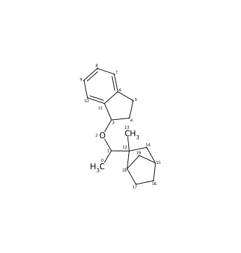 CC(OC1CCc2ccccc21)C1(C)CC2CCC1C2